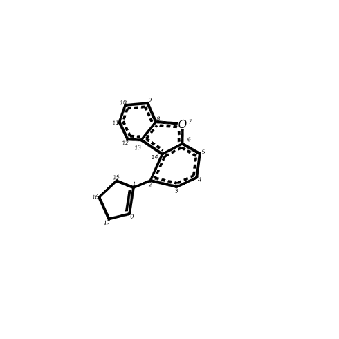 C1=C(c2cccc3oc4ccccc4c23)CCC1